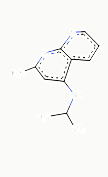 Cc1cc(NC(C)C)c2cccnc2n1